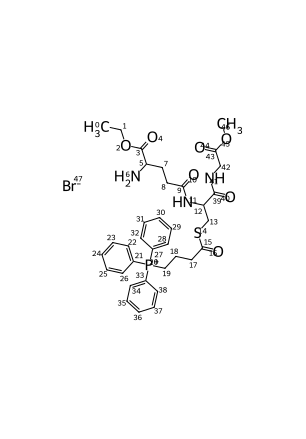 CCOC(=O)C(N)CCC(=O)NC(CSC(=O)CCC[P+](c1ccccc1)(c1ccccc1)c1ccccc1)C(=O)NCC(=O)OC.[Br-]